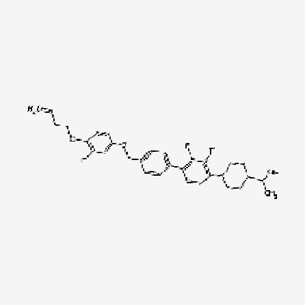 C=CCCOc1ccc(OCc2ccc(-c3ccc(C4CCC(C(C)O)CC4)c(F)c3F)cc2)cc1F